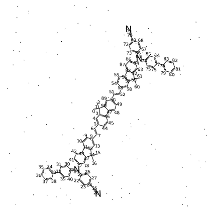 CC1(C)c2cc(/C=C/c3ccc4c(c3)C(C)(C)c3cc(N(c5ccc(C#N)cc5)c5ccc(-c6ccccc6)cc5)ccc3-4)ccc2-c2ccc(/C=C/c3ccc4c(c3)C(C)(C)c3cc(N(c5ccc(C#N)cc5)c5ccc(-c6ccccc6)cc5)ccc3-4)cc21